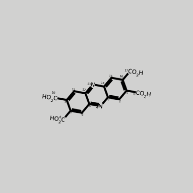 O=C(O)c1cc2nc3cc(C(=O)O)c(C(=O)O)cc3nc2cc1C(=O)O